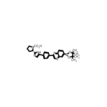 CC1(C)OB(c2ccc3nc(-c4ccc(-c5cnc([C@@H]6CCCN6C(=O)O)[nH]5)cc4)cnc3c2)OC1(C)C